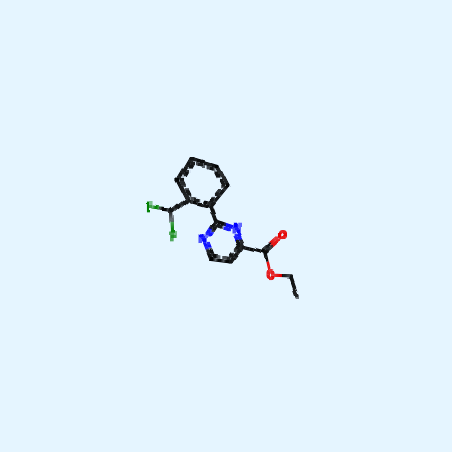 CCOC(=O)c1ccnc(-c2ccccc2C(F)F)n1